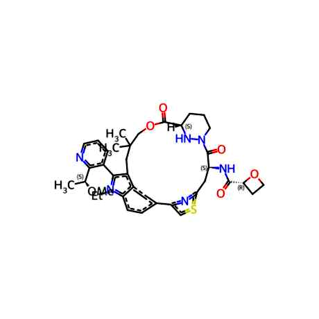 CCn1c(-c2cccnc2[C@H](C)OC)c2c3cc(ccc31)-c1csc(n1)C[C@H](NC(=O)[C@H]1CCO1)C(=O)N1CCC[C@H](N1)C(=O)OCC(C)(C)C2